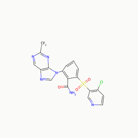 NC(=O)c1c(-n2cnc3cnc(C(F)(F)F)nc32)cccc1S(=O)(=O)c1cnccc1Cl